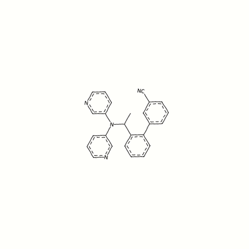 CC(c1ccccc1-c1cccc(C#N)c1)N(c1cccnc1)c1cccnc1